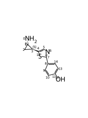 N[C@H]1C[C@@H]1c1cnc(-c2ccc(O)cc2)s1